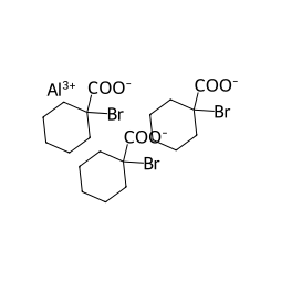 O=C([O-])C1(Br)CCCCC1.O=C([O-])C1(Br)CCCCC1.O=C([O-])C1(Br)CCCCC1.[Al+3]